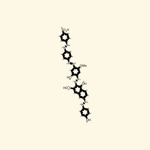 COc1cc(N=Nc2c(S(=O)(=O)O)cc3cc(N=Nc4ccc(O)cc4)ccc3c2O)c(O)cc1N=Nc1ccc(N=Nc2ccc(S(=O)(=O)O)cc2)cc1